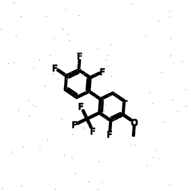 COC1=C(F)C(C(F)(F)F)=C(c2ccc(F)c(F)c2F)C[CH]1